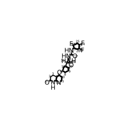 O=C1CCc2c(Oc3ccc4c(c3)[C@H]3[C@H](NC(=O)Nc5cc(F)c(F)cc5F)[C@H]3O4)ccnc2N1